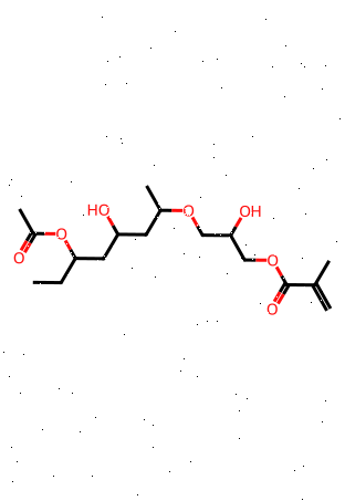 C=C(C)C(=O)OCC(O)COC(C)CC(O)CC(CC)OC(C)=O